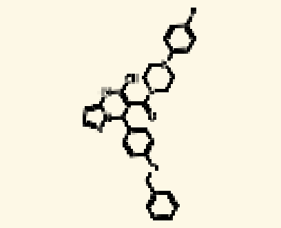 CC1=C(C(=O)N2CCN(c3ccc(F)cc3)CC2)C(c2ccc(OCc3ccccc3)cc2)n2nccc2N1